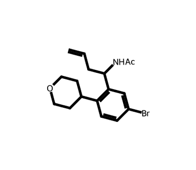 C=CCC(NC(C)=O)c1cc(Br)ccc1C1CCOCC1